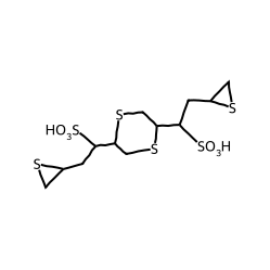 O=S(=O)(O)C(CC1CS1)C1CSC(C(CC2CS2)S(=O)(=O)O)CS1